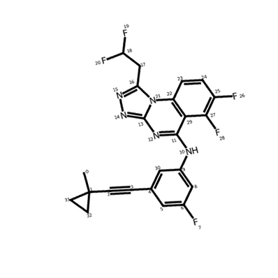 CC1(C#Cc2cc(F)cc(Nc3nc4nnc(CC(F)F)n4c4ccc(F)c(F)c34)c2)CC1